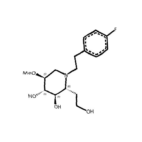 CO[C@H]1CN(CCc2ccc(F)cc2)[C@H](CCO)[C@@H](O)[C@@H]1O